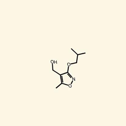 Cc1onc(OCC(C)C)c1CO